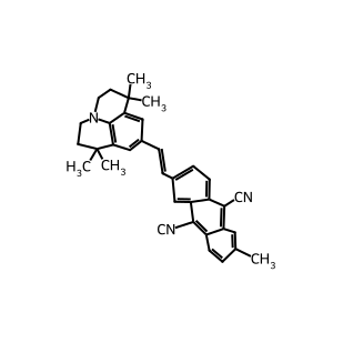 [C-]#[N+]c1c2ccc(C)cc2c(C#N)c2ccc(C=Cc3cc4c5c(c3)C(C)(C)CCN5CCC4(C)C)cc12